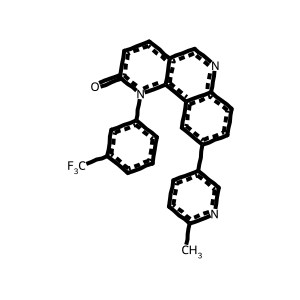 Cc1ccc(-c2ccc3ncc4ccc(=O)n(-c5cccc(C(F)(F)F)c5)c4c3c2)cn1